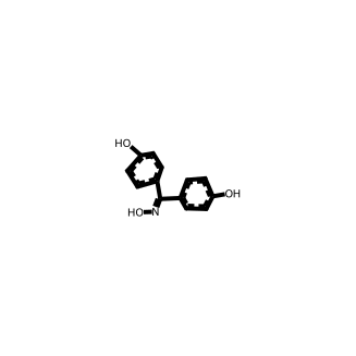 ON=C(c1ccc(O)cc1)c1ccc(O)cc1